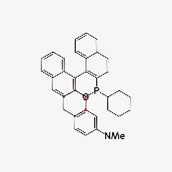 CNc1cccc(Oc2ccc3ccccc3c2-c2c(P(C3CCCCC3)C3CCCCC3)ccc3ccccc23)c1